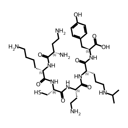 CC(C)NCCC[C@H](NC(=O)[C@H](CCN)NC(=O)[C@H](CS)NC(=O)[C@H](CCCCN)NC(=O)[C@@H](N)CCN)C(=O)N[C@@H](Cc1ccc(O)cc1)C(=O)O